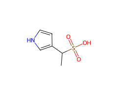 CC(c1cc[nH]c1)S(=O)(=O)O